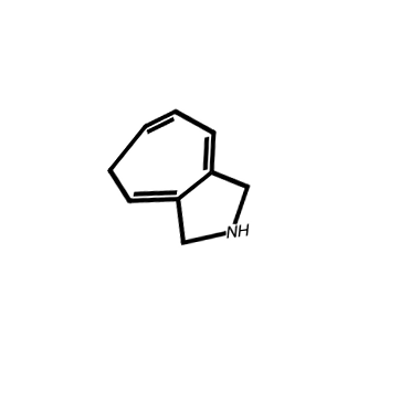 C1=CCC=C2CNCC2=C1